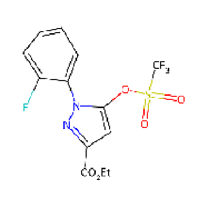 CCOC(=O)c1cc(OS(=O)(=O)C(F)(F)F)n(-c2ccccc2F)n1